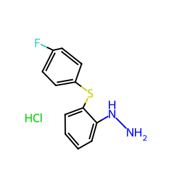 Cl.NNc1ccccc1Sc1ccc(F)cc1